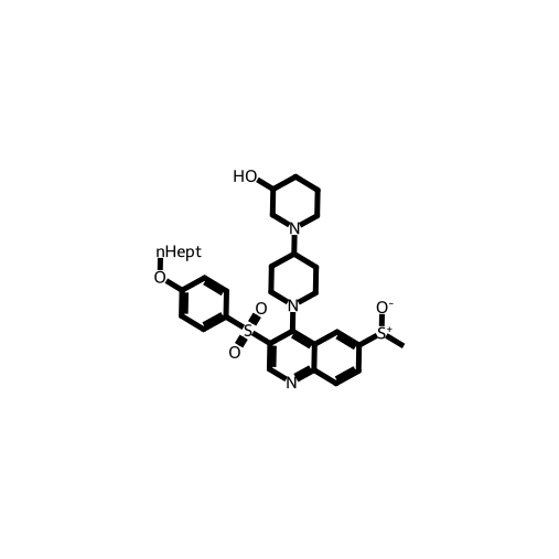 CCCCCCCOc1ccc(S(=O)(=O)c2cnc3ccc([S+](C)[O-])cc3c2N2CCC(N3CCCC(O)C3)CC2)cc1